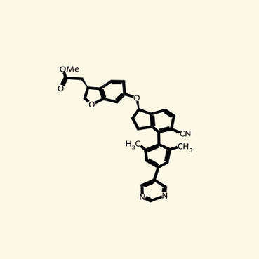 COC(=O)C[C@@H]1COc2cc(O[C@@H]3CCc4c3ccc(C#N)c4-c3c(C)cc(-c4cncnc4)cc3C)ccc21